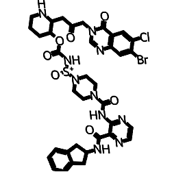 O=C(CC1NCCCC1OC(=O)N[S+]([O-])N1CCN(C(=O)Nc2nccnc2C(=O)NC2Cc3ccccc3C2)CC1)Cn1cnc2cc(Br)c(Cl)cc2c1=O